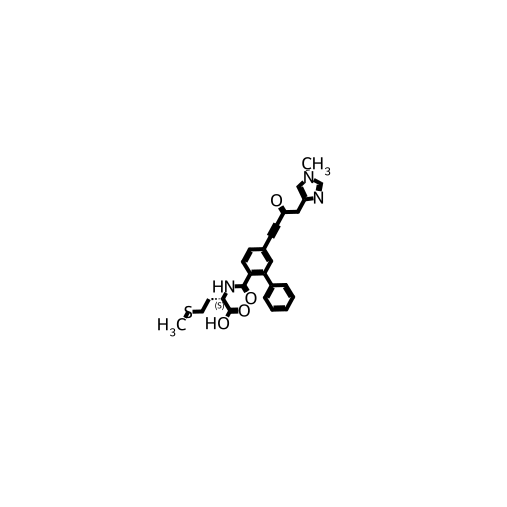 CSCC[C@H](NC(=O)c1ccc(C#CC(=O)Cc2cn(C)cn2)cc1-c1ccccc1)C(=O)O